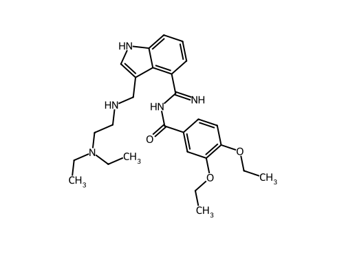 CCOc1ccc(C(=O)NC(=N)c2cccc3[nH]cc(CNCCN(CC)CC)c23)cc1OCC